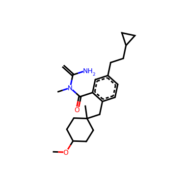 C=C(N)N(C)C(=O)c1cc(CCC2CC2)ccc1CC1(C)CCC(OC)CC1